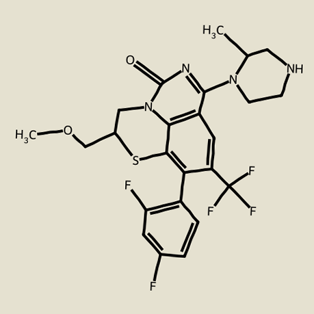 COCC1Cn2c(=O)nc(N3CCNCC3C)c3cc(C(F)(F)F)c(-c4ccc(F)cc4F)c(c32)S1